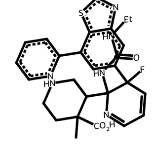 CCNC(=O)NC1(C2CNCCC2(C)C(=O)O)N=CC=CC1(F)c1cc(-c2ccccn2)c2scnc2c1